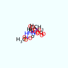 CC(C)CN(C[C@@H](O)[C@H](Cc1ccc(OCCNS(C)(=O)=O)cc1)NC(=O)O[C@H]1CO[C@H]2OCC[C@H]21)S(=O)(=O)c1ccc2c(c1)OCO2